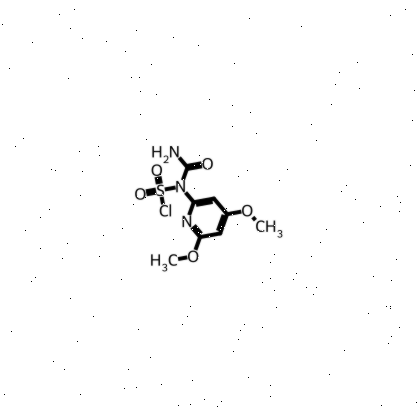 COc1cc(OC)nc(N(C(N)=O)S(=O)(=O)Cl)c1